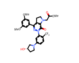 COC(=O)CN1CCc2c(-c3cc(OC)cc(OC)c3)nn(-c3cc(N4CC[C@H](O)C4)ccc3C(F)(F)F)c(=O)c21